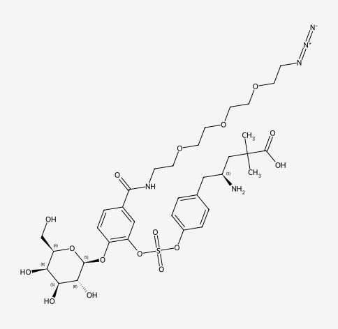 CC(C)(C[C@@H](N)Cc1ccc(OS(=O)(=O)Oc2cc(C(=O)NCCOCCOCCOCCN=[N+]=[N-])ccc2O[C@@H]2O[C@H](CO)[C@H](O)[C@H](O)[C@H]2O)cc1)C(=O)O